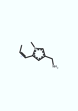 C/C=C\c1cc(CN)cn1C